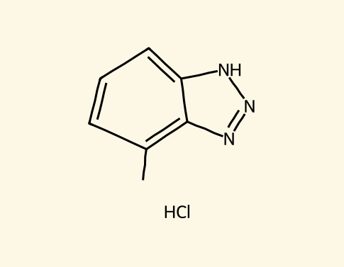 Cc1cccc2[nH]nnc12.Cl